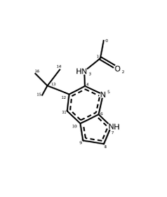 CC(=O)Nc1nc2[nH]ccc2cc1C(C)(C)C